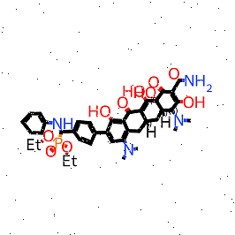 CCOP(=O)(OCC)C(NC1=CC=CCC1)c1ccc(-c2cc(N(C)C)c3c(c2O)C(=O)C2=C(O)[C@]4(O)C(=O)C(C(N)=O)=C(O)[C@@H](N(C)C)[C@@H]4C[C@@H]2C3)cc1